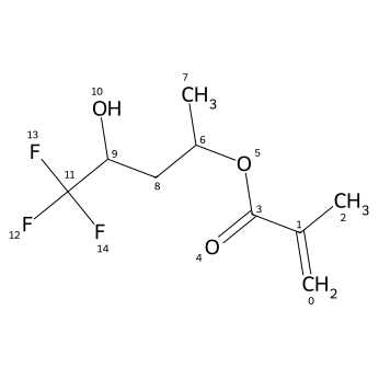 C=C(C)C(=O)OC(C)CC(O)C(F)(F)F